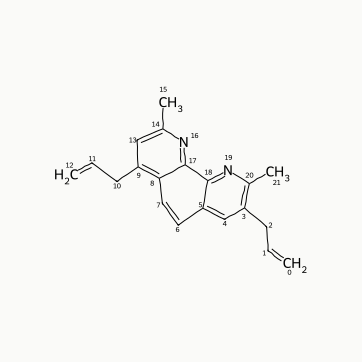 C=CCc1cc2ccc3c(CC=C)cc(C)nc3c2nc1C